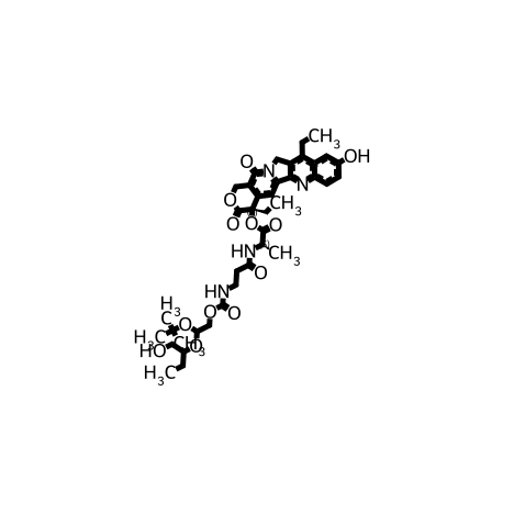 CCc1c2c(nc3ccc(O)cc13)-c1cc3c(c(=O)n1C2)COC(=O)[C@@]3(CC)OC(=O)[C@H](C)NC(=O)CCNC(=O)OCC(OC(CC)CO)OC(C)(C)C